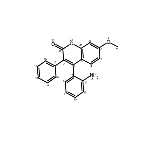 COc1ccc2c(-c3ccccc3N)c(-c3ccccc3)c(=O)oc2c1